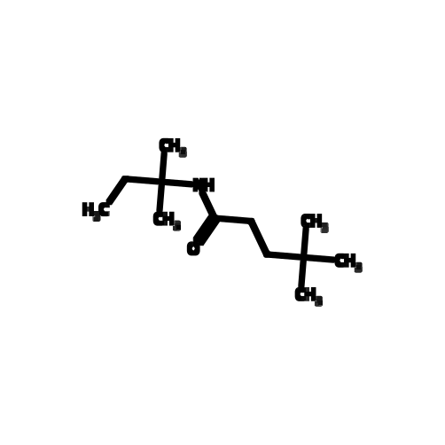 CCC(C)(C)NC(=O)CCC(C)(C)C